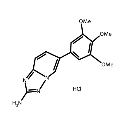 COc1cc(-c2ccc3nc(N)nn3c2)cc(OC)c1OC.Cl